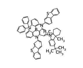 CC(C)(C)c1ccc2c(c1)C1(C)CCCCC1(C)N2c1cc2c3c(c1)N(c1ccc4c(c1)sc1ccccc14)c1cccc4c1B3c1c(cccc1[Si]4(c1ccccc1)c1ccccc1)N2c1ccc2c(c1)sc1ccccc12